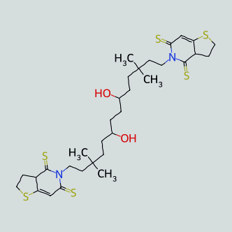 CC(C)(CCC(O)CCC(O)CCC(C)(C)CCN1C(=S)C=C2SCCC2C1=S)CCN1C(=S)C=C2SCCC2C1=S